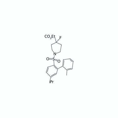 CCOC(=O)C1(F)CCN(S(=O)(=O)c2ccc(C(C)C)cc2-c2ccccc2C)CC1